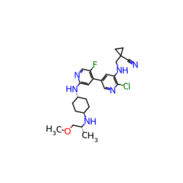 COC[C@@H](C)N[C@H]1CC[C@H](Nc2cc(-c3cnc(Cl)c(NCC4(C#N)CC4)c3)c(F)cn2)CC1